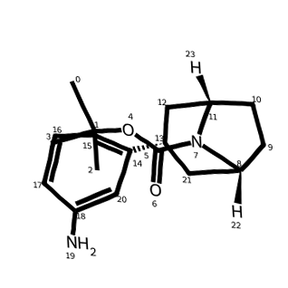 CC(C)(C)OC(=O)N1[C@@H]2CC[C@H]1C[C@@H](c1cccc(N)c1)C2